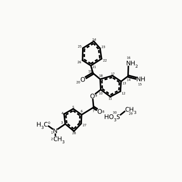 CN(C)c1ccc(C(=O)Oc2ccc(C(=N)N)cc2C(=O)c2ccccc2)cc1.CS(=O)(=O)O